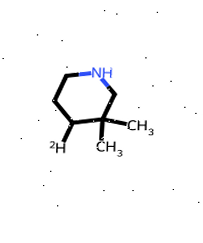 [2H]C1CCNCC1(C)C